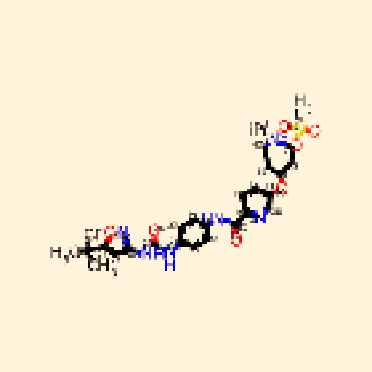 CC(C)[N+]1(OS(C)(=O)=O)CCC(Oc2ccc(C(=O)Nc3ccc(NC(=O)Nc4cc(C(C)(C)C(F)(F)F)on4)cc3)nc2)CC1